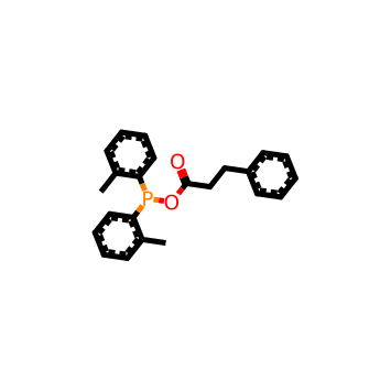 Cc1ccccc1P(OC(=O)CCc1ccccc1)c1ccccc1C